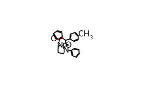 Cc1ccc(C(CC=O)P2(=O)N(c3ccccc3)CCCN2c2ccccc2)cc1